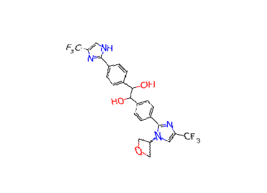 OC(c1ccc(-c2nc(C(F)(F)F)c[nH]2)cc1)C(O)c1ccc(-c2nc(C(F)(F)F)cn2C2COC2)cc1